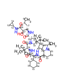 CCC[C@H](NC(=O)[C@@H]1C[C@@]2(CN1C(=O)C(NC(=O)[C@@H](NC(=O)[C@@H]1CCCN(CC)C1)C1CCCCC1)C(C)(C)C)C(C)(C)C21CCC1)C(O)C(=O)NC1CC1